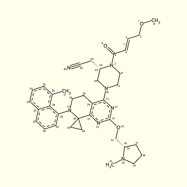 COC/C=C/C(=O)N1CCN(c2nc(OC[C@@H]3CCCN3C)nc3c2CCN(c2cccc4cccc(C)c24)C32CC2)C[C@@H]1CC#N